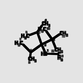 CBC(C(C)C)(C(C)C)C(C)(C)C